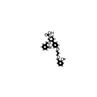 COc1ccccc1COCCCOc1ccc(C2CCN(C(=O)O)CC2OCc2ccccc2Br)cc1